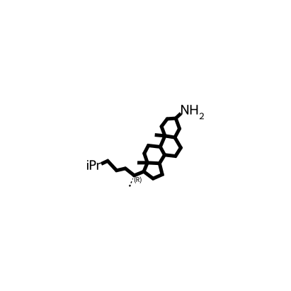 CC(C)CCC[C@@H](C)C1CCC2C3CCC4CC(N)CCC4(C)C3CCC21C